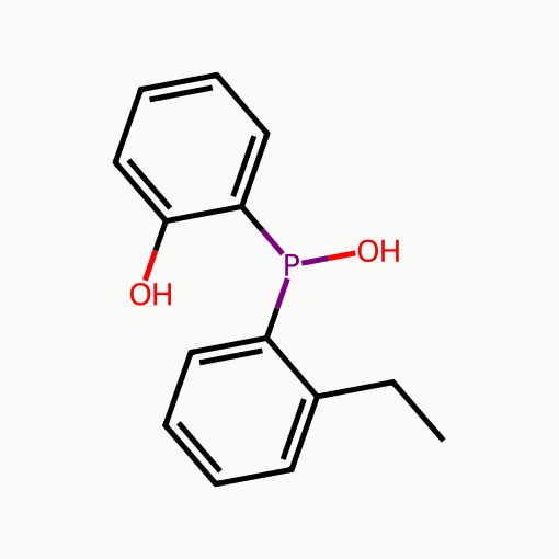 CCc1ccccc1P(O)c1ccccc1O